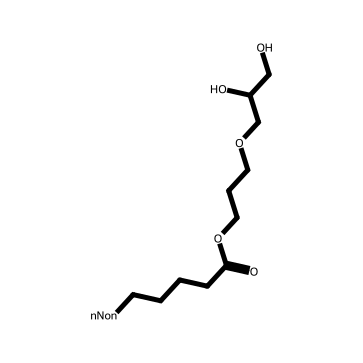 CCCCCCCCCCCCCC(=O)OCCCOCC(O)CO